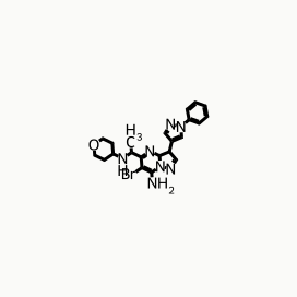 CC(NC1CCOCC1)C1=NC2C(c3cnn(-c4ccccc4)c3)C=NN2C(N)=C1Br